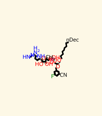 CCCCCCCCCCCCCCCCCCCOC[C@H](COP(=O)(O)OC[C@@]1(C)O[C@@H](c2ccc(/C(N)=N\C=N)[nH]2)[C@H](O)[C@@H]1O)OCc1cc(F)cc(C#N)c1